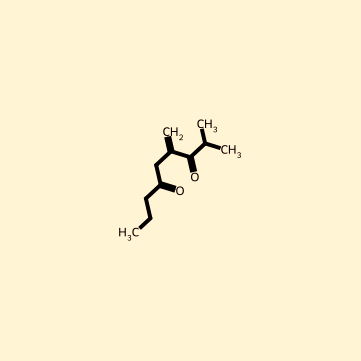 C=C(CC(=O)CCC)C(=O)C(C)C